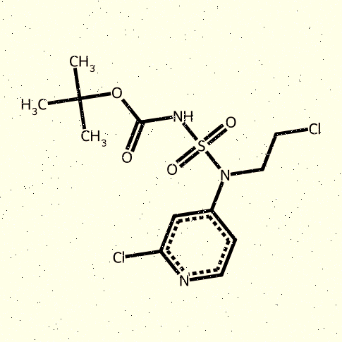 CC(C)(C)OC(=O)NS(=O)(=O)N(CCCl)c1ccnc(Cl)c1